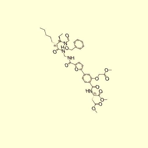 CCCCC[C@@H](C(=O)NCNC(=O)c1ccc(-c2ccc(C(=O)N[C@@H](CC(=O)OC)C(=O)OC)c(OCC(=O)OC)c2)o1)[C@@H](CC)N(C=O)OCc1ccccc1